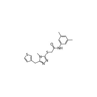 Cc1cc(C)cc(NC(=O)CSc2nnc(Cc3ccsc3)n2C)c1